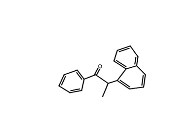 CC(C(=O)c1ccccc1)c1cccc2ccccc12